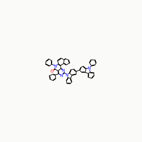 O=c1c2c(-c3ccccc3)nc(-n3c4ccccc4c4cc(-c5ccc6c(c5)c5ccccc5n6-c5ccccc5)ccc43)nc2c2c3ccccc3ccc2n1-c1ccccc1